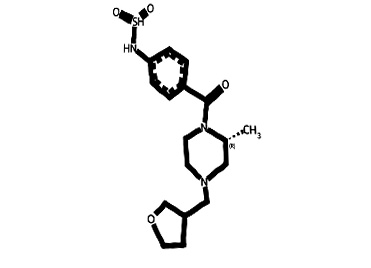 C[C@@H]1CN(CC2CCOC2)CCN1C(=O)c1ccc(N[SH](=O)=O)cc1